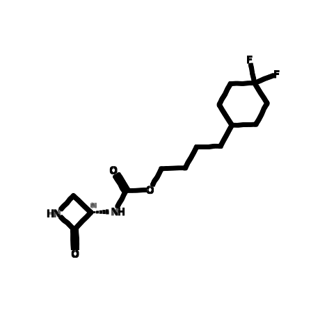 O=C(N[C@H]1CNC1=O)OCCCCC1CCC(F)(F)CC1